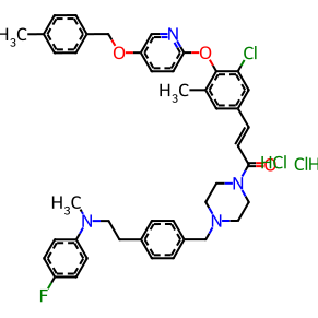 Cc1ccc(COc2ccc(Oc3c(C)cc(C=CC(=O)N4CCN(Cc5ccc(CCN(C)c6ccc(F)cc6)cc5)CC4)cc3Cl)nc2)cc1.Cl.Cl